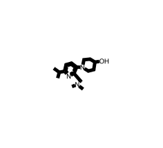 CC(C)c1ccc(N2CCC(O)CC2)c(CN(C)C)n1